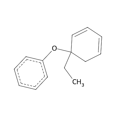 CCC1(Oc2ccccc2)C=CC=CC1